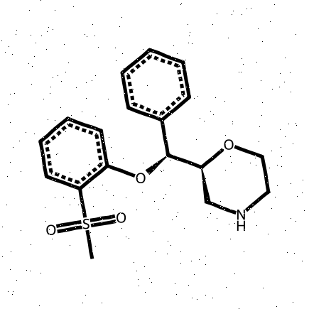 CS(=O)(=O)c1ccccc1O[C@@H](c1ccccc1)[C@@H]1CNCCO1